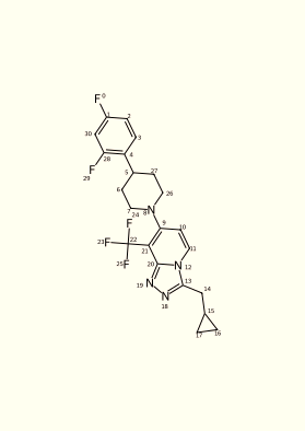 Fc1ccc(C2CCN(c3ccn4c(CC5CC5)nnc4c3C(F)(F)F)CC2)c(F)c1